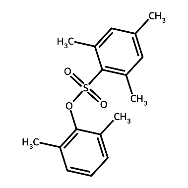 Cc1cc(C)c(S(=O)(=O)Oc2c(C)cccc2C)c(C)c1